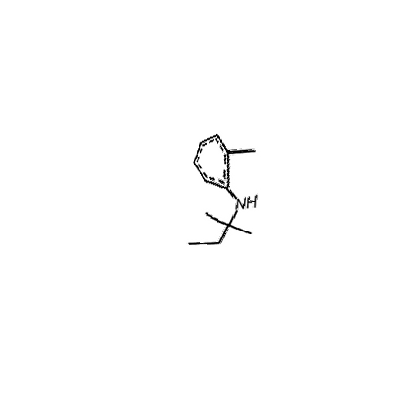 CCC(C)(C)Nc1ccccc1C